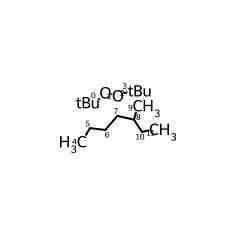 CC(C)(C)OOC(C)(C)C.CCCCC(C)CC